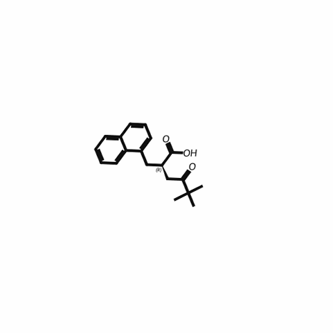 CC(C)(C)C(=O)C[C@@H](Cc1cccc2ccccc12)C(=O)O